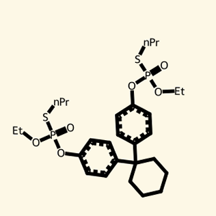 CCCSP(=O)(OCC)Oc1ccc(C2(c3ccc(OP(=O)(OCC)SCCC)cc3)CCCCC2)cc1